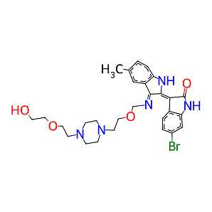 Cc1ccc2c(c1)C(=N\COCCN1CCN(CCOCCO)CC1)/C(=C1/C(=O)Nc3cc(Br)ccc31)N2